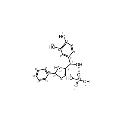 O=S(=O)(O)O.Oc1ccc(C(O)C2CCC(c3ccccc3)N2)cc1O